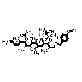 C=C/C=C\[C@H](C)[C@H](OC(N)=O)[C@@H](C)[C@H](O)[C@@H](C)C/C(C)=C\[C@H](C)[C@@H](O[Si](C)(C)C(C)(C)C)[C@@H](C)COCc1ccc(OC)cc1